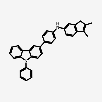 CC1=C(C)c2ccc(Nc3ccc(-c4ccc5c(c4)c4ccccc4n5-c4ccccc4)cc3)cc2C1